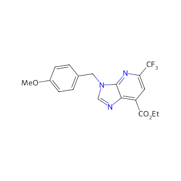 CCOC(=O)c1cc(C(F)(F)F)nc2c1ncn2Cc1ccc(OC)cc1